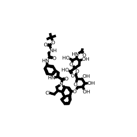 CC(=O)NC1C(O)CC(OCC2OC(Oc3cc4c(c5ccccc35)C(CCl)CN4C(=O)c3cc4cc(NC(=O)CNC(=O)OC(C)(C)C)ccc4[nH]3)C(O)C(O)C2O)(C(=O)O)OC1O